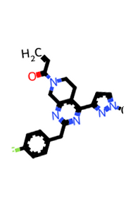 C=CC(=O)N1CCc2c(nc(Cc3ccc(F)cc3)nc2-c2ccn(C)n2)C1